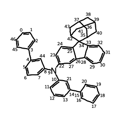 c1ccc(-c2cccc(N(c3cccc(-c4ccccc4)c3)c3ccc4c(c3)-c3ccccc3C43C4CC5CC(C4)CC3C5)c2)cc1